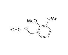 COc1cccc(CO[C]=O)c1OC